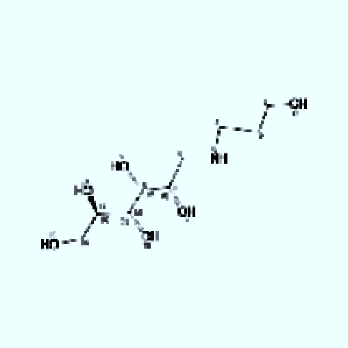 OCCCNC[C@H](O)[C@@H](O)[C@H](O)[C@H](O)CO